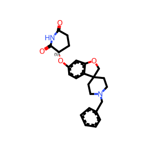 O=C1CC[C@H](Oc2ccc3c(c2)OCC32CCN(Cc3ccccc3)CC2)C(=O)N1